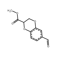 COC(=O)C1COc2cc(C=O)ccc2O1